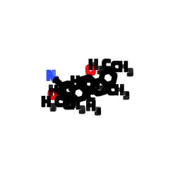 CC1(C)CC[C@]2(C)CC[C@]3(C)C(C(=O)C[C@@H]4[C@@]5(C)C=C(C#N)C(=O)C(C)(C)[C@@H]5CC[C@]43C)C2C1